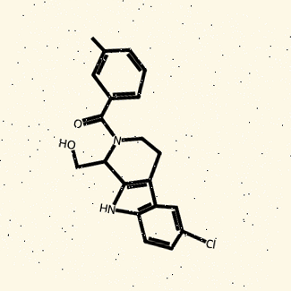 Cc1cccc(C(=O)N2CCc3c([nH]c4ccc(Cl)cc34)C2CO)c1